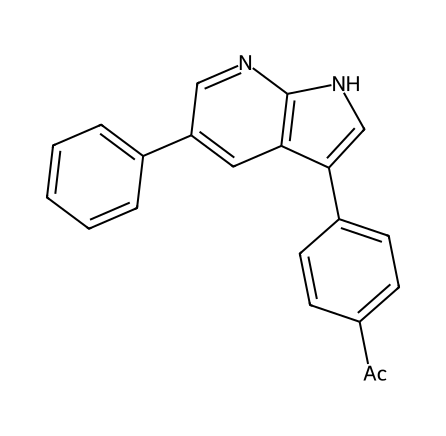 CC(=O)c1ccc(-c2c[nH]c3ncc(-c4ccccc4)cc23)cc1